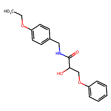 O=C(O)COc1ccc(CNC(=O)C(O)COc2ccccc2)cc1